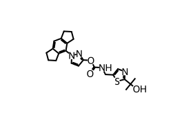 CC(C)(O)c1ncc(CNC(=O)Oc2ccn(-c3c4c(cc5c3CCC5)CCC4)n2)s1